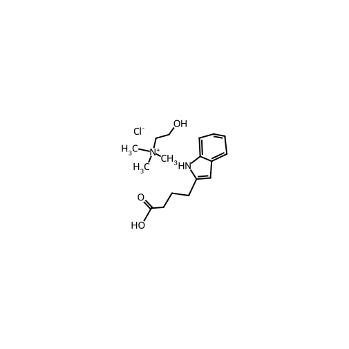 C[N+](C)(C)CCO.O=C(O)CCCc1cc2ccccc2[nH]1.[Cl-]